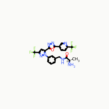 C[C@H](N)C(=O)NCc1cccc(-n2nc(C(F)(F)F)cc2-c2nnc(-c3ccc(C(F)(F)F)nc3)o2)c1